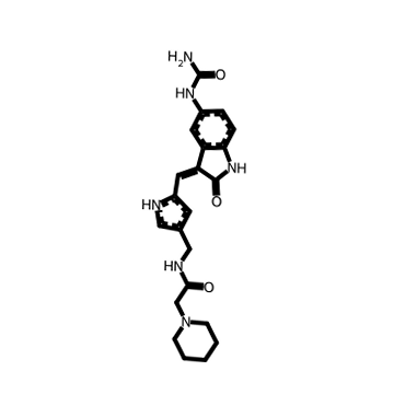 NC(=O)Nc1ccc2c(c1)C(=Cc1cc(CNC(=O)CN3CCCCC3)c[nH]1)C(=O)N2